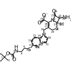 CC(C)(C)OC(=O)NCCSc1ccc2n(CC3=C(C(=O)[O-])N4C(=O)[C@@H](N)[C@H]4SC3)cc[n+]2n1